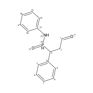 O=CCC(c1ccccc1)[PH](=O)Nc1ccccc1